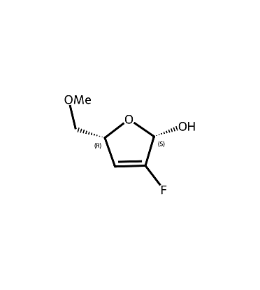 COC[C@H]1C=C(F)[C@@H](O)O1